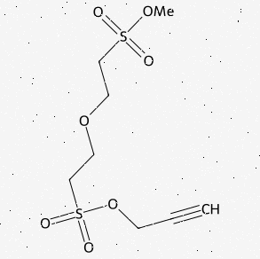 C#CCOS(=O)(=O)CCOCCS(=O)(=O)OC